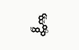 c1cnc2c(c1)ccc1ccc(-c3ccc4oc5cccc(-c6ccc7cnccc7c6)c5c4c3)nc12